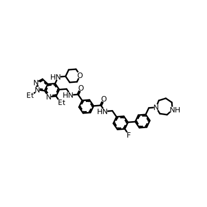 CCc1nc2c(cnn2CC)c(NC2CCOCC2)c1CNC(=O)c1cccc(C(=O)NCc2ccc(F)c(-c3cccc(CN4CCCNCC4)c3)c2)c1